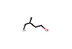 [CH2]C(C[CH]O)CCCC